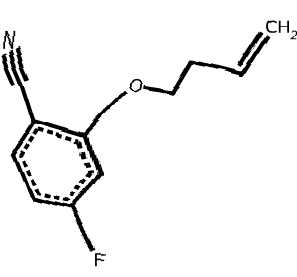 C=CCCOc1cc(F)ccc1C#N